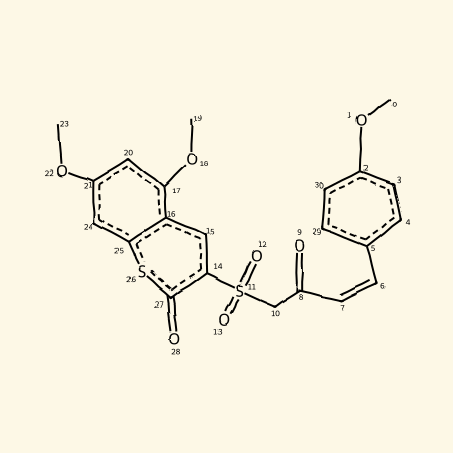 COc1ccc(/C=C\C(=O)CS(=O)(=O)c2cc3c(OC)cc(OC)cc3sc2=O)cc1